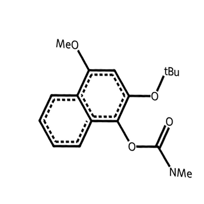 CNC(=O)Oc1c(OC(C)(C)C)cc(OC)c2ccccc12